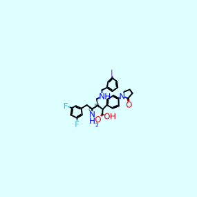 N[C@@H](Cc1cc(F)cc(F)c1)[C@@H](CNCc1cccc(I)c1)C(C(=O)O)c1ccc(N2CCCC2=O)cc1